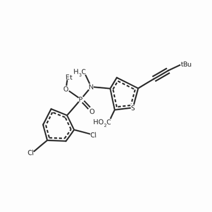 CCOP(=O)(c1ccc(Cl)cc1Cl)N(C)c1cc(C#CC(C)(C)C)sc1C(=O)O